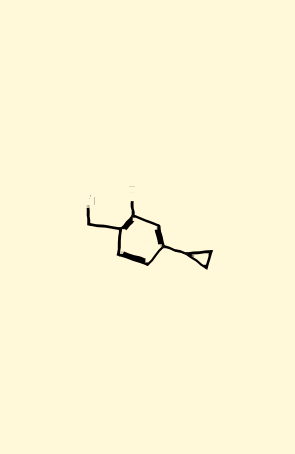 Fc1cc(C2CC2)ccc1CBr